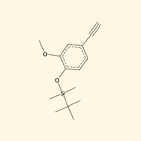 C#Cc1ccc(O[Si](C)(C)C(C)(C)C)c(OC)c1